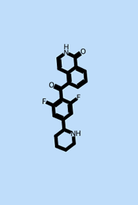 O=C(c1c(F)cc(C2CCCCN2)cc1F)c1cccc2c(=O)[nH]ccc12